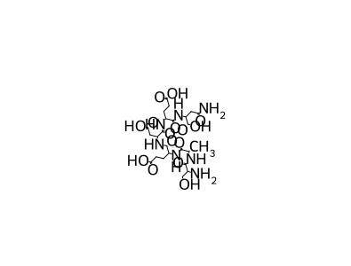 CC(NC(=O)C(N)CO)C(=O)NC(CCC(=O)O)C(=O)NC(CC(=O)O)C(=O)NC(CCC(=O)O)C(=O)NC(CC(N)=O)C(=O)O